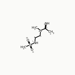 CC(=N)N(C)CCNS(C)(=O)=O